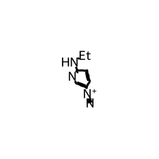 CCNc1ccc([N+]#N)cn1